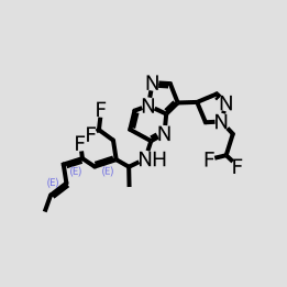 C/C=C/C=C(F)\C=C(/CC(F)F)C(C)Nc1ccn2ncc(C3C=NN(CC(F)F)C3)c2n1